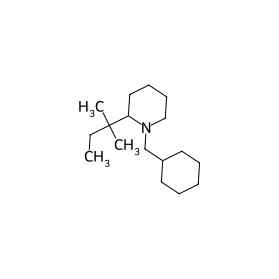 CCC(C)(C)C1CCCCN1CC1CCCCC1